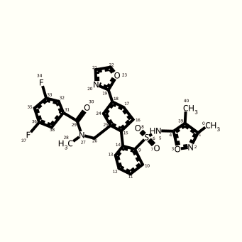 Cc1noc(NS(=O)(=O)c2ccccc2-c2ccc(-c3ncco3)cc2CN(C)C(=O)c2cc(F)cc(F)c2)c1C